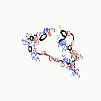 CCCNC(=O)Nc1cccc(S(=O)(=O)Nc2cccc([C@@H](CC(=O)O)NC(=O)Nc3ccc(NC(=O)NCCOCCOCCOCCC(=O)N[C@H](C(=O)N[C@@H](CCCNC(N)=O)C(=O)N=S(C)(=O)Cc4cc5cc(c4)OCCCCOc4cc(F)ccc4-c4nc(ncc4F)N5)C(C)C)cc3)c2)c1